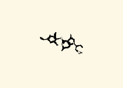 CCc1cc(C)c(Oc2nc(C)cc3c2c(C)cn3C(CC)CO)c(C)c1